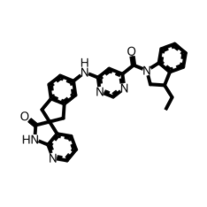 CCC1CN(C(=O)c2cc(Nc3ccc4c(c3)CC3(C4)C(=O)Nc4ncccc43)ncn2)c2ccccc21